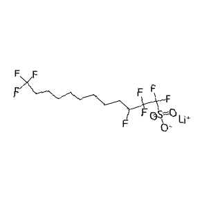 O=S(=O)([O-])C(F)(F)C(F)(F)C(F)CCCCCCCCC(F)(F)F.[Li+]